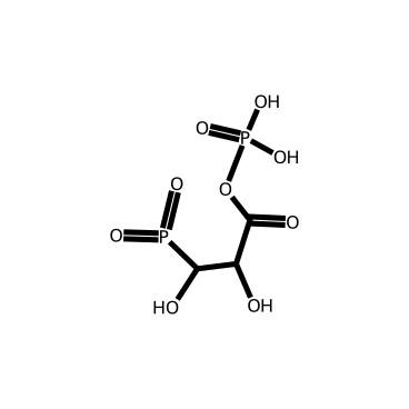 O=C(OP(=O)(O)O)C(O)C(O)P(=O)=O